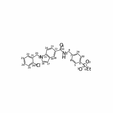 CCS(=O)(=O)c1ccc(CNC(=O)c2ccc3c(ccn3Cc3ccccc3Cl)c2)cc1